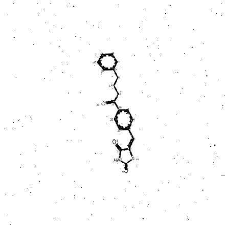 O=C1NC(=O)/C(=C\c2ccc(C(=O)CCCc3ccccc3)cc2)S1